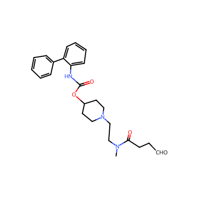 CN(CCN1CCC(OC(=O)Nc2ccccc2-c2ccccc2)CC1)C(=O)CCC=O